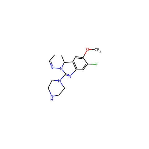 C/C=N\N1C(N2CCNCC2)=Nc2cc(F)c(OC(F)(F)F)cc2C1C